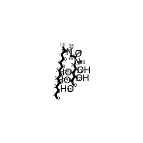 CCCCCCCCCCCCC(C)N(C)CC(=O)N(C)C[C@H](O)[C@@H](O)[C@H](O)[C@H](O)CO